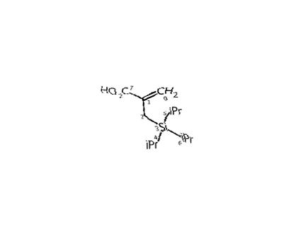 C=C(C[Si](C(C)C)(C(C)C)C(C)C)C(=O)O